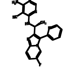 C[C@H](Nc1ncnc(N)c1C#N)c1nc2ccc(F)cn2c1-c1ccccn1